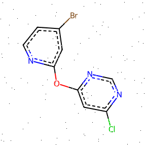 Clc1cc(Oc2cc(Br)ccn2)ncn1